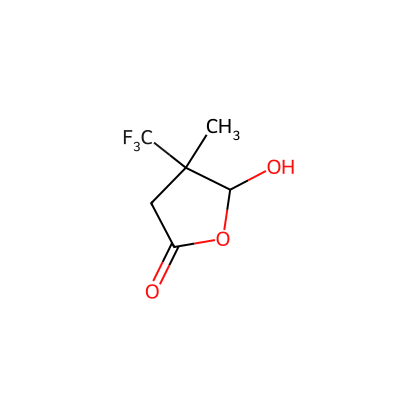 CC1(C(F)(F)F)CC(=O)OC1O